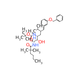 CCCCC(C)(C)C(=O)NCC(O)C(CC(Cc1cccc(OCc2ccccc2)c1)C(C)C)NC(=O)OC(C)(C)C